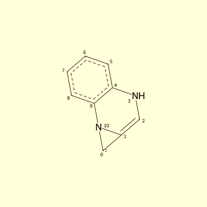 [C]1C2=CNc3ccccc3N12